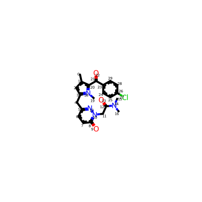 Cc1cc(Cc2ccc(=O)n(CC(=O)N(C)C)n2)n(C)c1C(=O)c1ccc(Cl)cc1